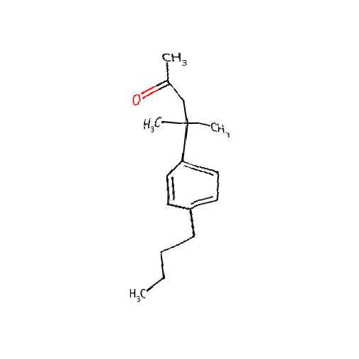 CCCCc1ccc(C(C)(C)CC(C)=O)cc1